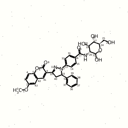 COc1ccc2oc(=O)c(C3=NN(c4ccc(C(=O)N[C@H]5C(O)O[C@H](CO)[C@@H](O)[C@@H]5O)cc4)C(c4ccccc4)C3)cc2c1